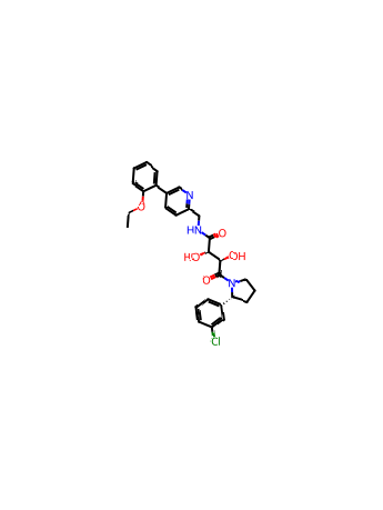 CCOc1ccccc1-c1ccc(CNC(=O)[C@H](O)[C@@H](O)C(=O)N2CCC[C@@H]2c2cccc(Cl)c2)nc1